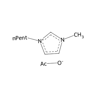 CC(=O)[O-].CCCCC[n+]1ccn(C)c1